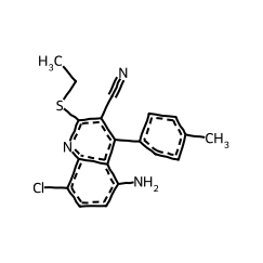 CCSc1nc2c(Cl)ccc(N)c2c(-c2ccc(C)cc2)c1C#N